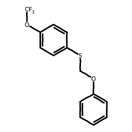 FC(F)(F)Oc1ccc(SCOc2[c]cccc2)cc1